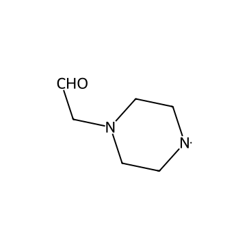 O=CCN1CC[N]CC1